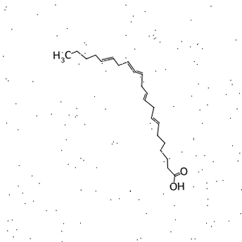 CCCCC=CCC=C=CCC=CCC=CCCCCCC(=O)O